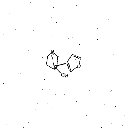 OC1(c2ccoc2)CN2CCC1CC2